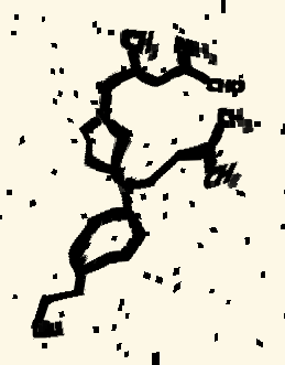 CC(C)=CCN(c1ccc(CCC(C)(C)C)cc1)C1CCN(CC(C)CC(N)C=O)C1